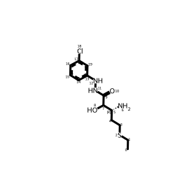 CCSCC[C@@H](N)C(O)C(=O)NNc1cccc(Cl)c1